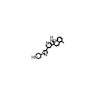 Cc1cccc(Cl)c1/C=C\c1c[nH]c2ncc(-c3cnn(C4CCNCC4)c3)cc12